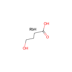 O=C(O)CCCO.[RbH]